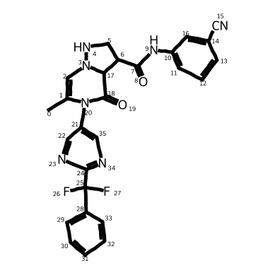 CC1=CN2NCC(C(=O)Nc3cccc(C#N)c3)C2C(=O)N1c1cnc(C(F)(F)c2ccccc2)nc1